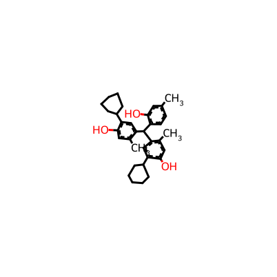 Cc1ccc(C(c2cc(C3CCCCC3)c(O)cc2C)c2cc(C3CCCCC3)c(O)cc2C)c(O)c1